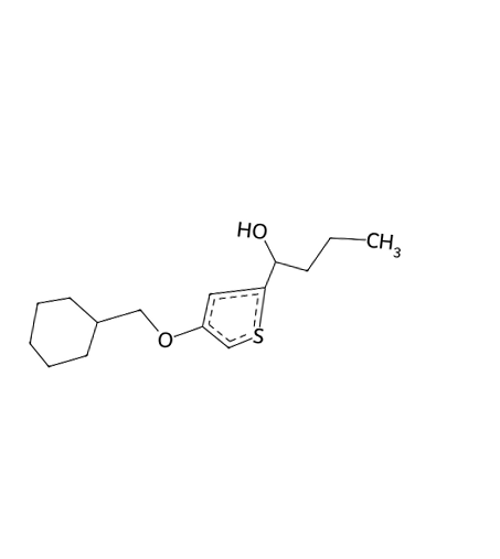 CCCC(O)c1cc(OCC2CCCCC2)cs1